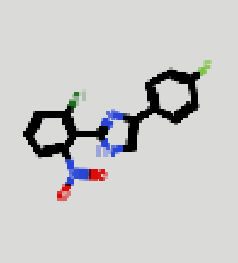 O=[N+]([O-])c1cccc(Cl)c1-c1nc(-c2ccc(F)cc2)c[nH]1